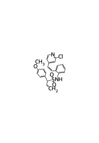 C=CC(c1ccc(OC)cc1)S(=O)(=O)Nc1ccccc1C=Cc1ccnc(Cl)c1